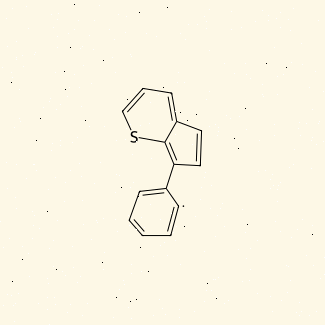 [c]1ccccc1-c1ccc2cccsc1-2